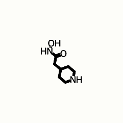 O=C(CC1CCNCC1)NO